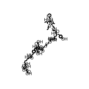 CCCOCN(C(=O)[C@@H](NC(=O)C1CCCCN1C)C(C)CC)[C@H](CCc1nc(C(=O)N[C@@H](Cc2ccc(O)cc2)C[C@H](C)C(=O)NNC(=O)OCCSSCCNC(=O)[C@H](CC(=O)O)NC(=O)C(CC(=O)O)NC(=O)Cc2ccc(CNC(=O)NCCCC[C@@H](C)NC(=O)N[C@@H](CCC(=O)O)C(=O)O)cc2)cs1)C(C)C